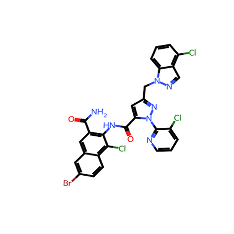 NC(=O)c1cc2cc(Br)ccc2c(Cl)c1NC(=O)c1cc(Cn2ncc3c(Cl)cccc32)nn1-c1ncccc1Cl